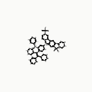 CC(C)(C)c1ccc2c(c1)c1cc3c(cc1n2-c1ccc2c(c1)C(c1ccccc1)c1ccccc1C2=C(c1ccccc1)c1ccccc1)C(C)(C)c1ccccc1-3